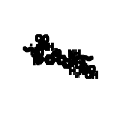 CCCN(Cc1nc2ccc3cc4c(cc3c2n1N)OCc1cc(-c2cnc(CN(C(=O)CN(N)C(=O)OC)[C@@H](C)CC)[nH]2)ccc1-4)C(=O)CN(N)C(=O)O